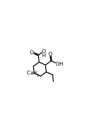 CCC1CCCC(C(=O)O)C1C(=O)O.[CaH2]